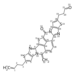 C=CCCc1cc2c(nc3c4sc5c(=O)n6c7cc(CCC=O)sc7nc6c6ccc(c(=C)n23)c4c56)s1